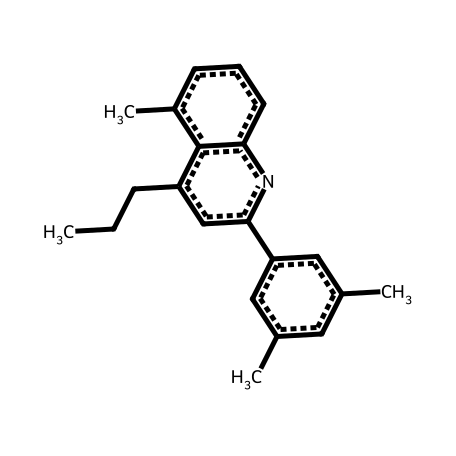 CCCc1cc(-c2cc(C)cc(C)c2)nc2cccc(C)c12